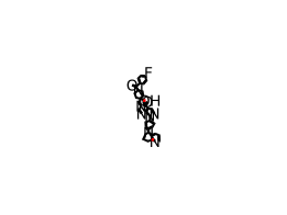 O=C(c1ccc(F)cc1)N1CCC(O)(Cn2cnc3c(cnn3-c3ccc(N4CCCc5ncccc54)cc3)c2=O)CC1